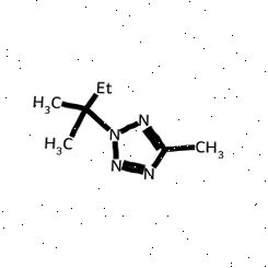 CCC(C)(C)n1nnc(C)n1